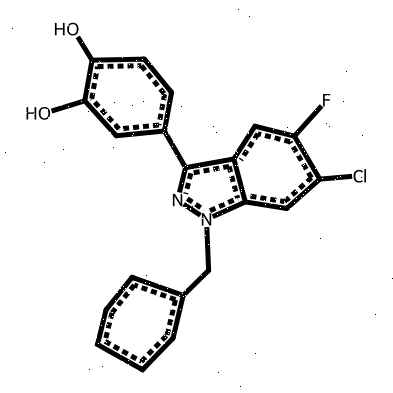 Oc1ccc(-c2nn(Cc3ccccc3)c3cc(Cl)c(F)cc23)cc1O